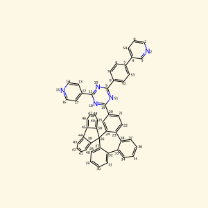 c1cncc(-c2ccc(-c3nc(-c4ccncc4)nc(-c4ccc5c(c4)C4(c6ccccc6-c6ccccc6-5)c5ccccc5-c5ccccc54)n3)cc2)c1